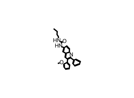 CCCCNC(=O)Nc1ccc2nc(-c3ccccc3)c(-c3ccccc3OC)cc2c1